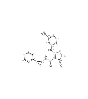 O=C(N[C@@H]1C[C@H]1c1ccccc1)C1=C(Nc2cccc([N+](=O)[O-])c2)COC1=O